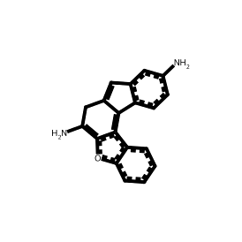 NC1=c2oc3ccccc3c2=C2C(=Cc3cc(N)ccc32)C1